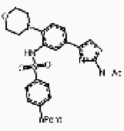 CCCCCc1ccc(S(=O)(=O)Nc2cc(-c3csc(NC(C)=O)n3)ccc2N2CCOCC2)cc1